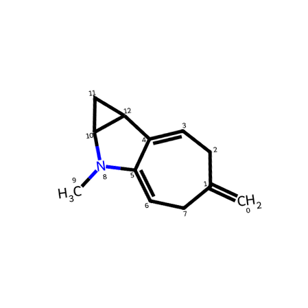 C=C1CC=C2C(=CC1)N(C)C1CC21